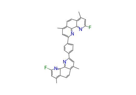 Cc1cc(F)nc2c1ccc1c(C)cc(-c3ccc(-c4cc(C)c5ccc6c(C)cc(F)nc6c5n4)cc3)nc12